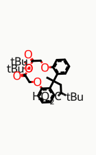 CC(C)(C)OC(=O)COc1ccccc1C(C)(CC(C(=O)O)C(C)(C)C)c1ccccc1OCC(=O)OC(C)(C)C